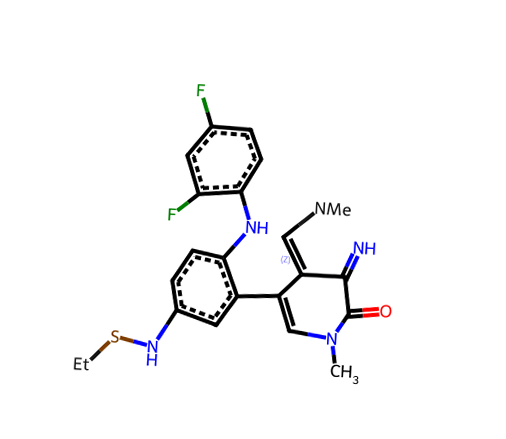 CCSNc1ccc(Nc2ccc(F)cc2F)c(C2=CN(C)C(=O)C(=N)/C2=C\NC)c1